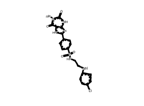 CCCn1c(=O)[nH]c2nc(-c3ccc(S(=O)(=O)NCCNc4ccc(Cl)cc4)cc3)[nH]c2c1=O